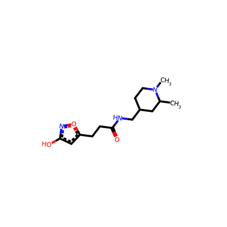 CC1CC(CNC(=O)CCc2cc(O)no2)CCN1C